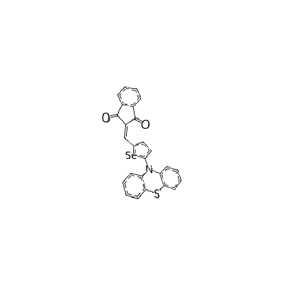 O=C1C(=Cc2ccc(N3c4ccccc4Sc4ccccc43)[se]2)C(=O)c2ccccc21